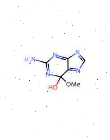 COC1(O)N=C(N)N=C2N=CN=C21